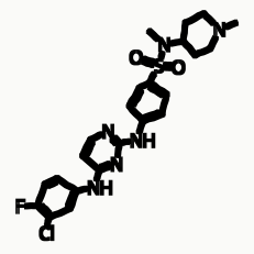 CN1CCC(N(C)S(=O)(=O)c2ccc(Nc3nccc(Nc4ccc(F)c(Cl)c4)n3)cc2)CC1